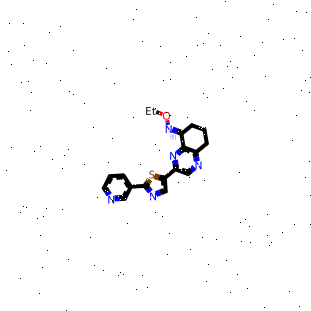 CCO/N=C1\CCCc2ncc(-c3cnc(-c4cccnc4)s3)nc21